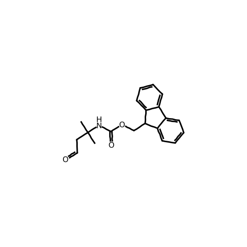 CC(C)(CC=O)NC(=O)OCC1c2ccccc2-c2ccccc21